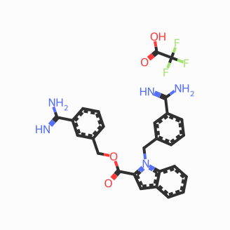 N=C(N)c1cccc(COC(=O)c2cc3ccccc3n2Cc2cccc(C(=N)N)c2)c1.O=C(O)C(F)(F)F